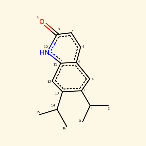 CC(C)c1cc2ccc(=O)[nH]c2cc1C(C)C